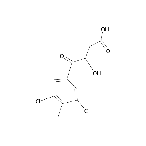 Cc1c(Cl)cc(C(=O)C(O)CC(=O)O)cc1Cl